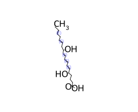 CC/C=C/C/C=C/CC(O)/C=C/C=C/C=C/C(O)CCCC(=O)O